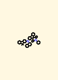 CC1(C)c2ccccc2-c2ccc(N(c3ccc4c(c3)C3(c5ccccc5-4)c4ccccc4N(c4ccccc4)c4ccccc43)c3cccc4ccccc34)cc21